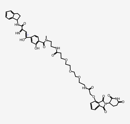 CN(CCNC(=O)CCOCCOCCOCCNC(=O)COc1cccc2c1C(=O)N(C1CCC(=O)NC1=O)C2=O)C(=O)c1ccc(/C(O)=C/C(=N)C(=O)NC2CCc3ccccc32)cc1O